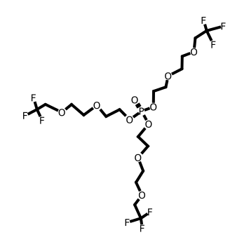 O=P(OCCOCCOCC(F)(F)F)(OCCOCCOCC(F)(F)F)OCCOCCOCC(F)(F)F